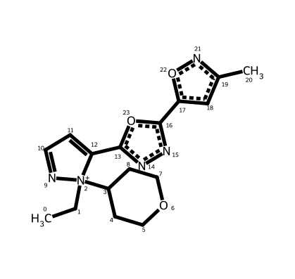 CC[N+]1(C2CCOCC2)N=CC=C1c1nnc(-c2cc(C)no2)o1